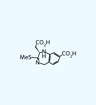 CSC1=NCc2ccc(C(=O)O)cc2N[C@@H]1CC(=O)O